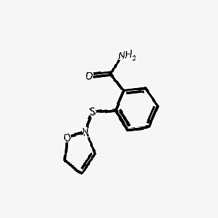 NC(=O)c1ccccc1SN1C=CCO1